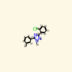 Cc1cccc(-c2nc(-c3ccccc3Cl)nn2C)c1